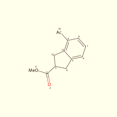 COC(=O)C1Cc2cccc(C(C)=O)c2C1